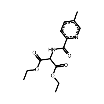 CCOC(=O)C(NC(=O)c1ccc(C)cn1)C(=O)OCC